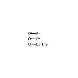 CC[O-].CC[O-].CC[O-].[Tm+3]